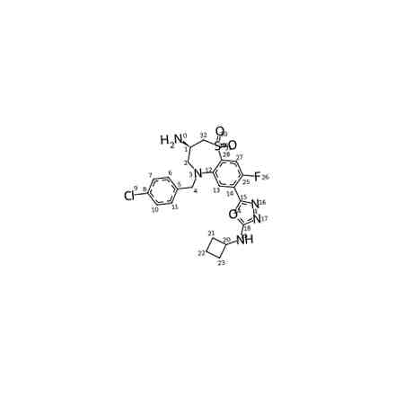 N[C@@H]1CN(Cc2ccc(Cl)cc2)c2cc(-c3nnc(NC4CCC4)o3)c(F)cc2S(=O)(=O)C1